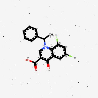 CC(c1ccccc1)n1cc(C(=O)O)c(=O)c2cc(F)cc(F)c21